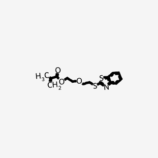 C=C(C)C(=O)OCCOCCSc1nc2ccccc2s1